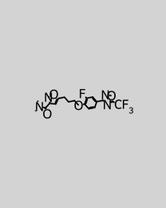 CN(C)C(=O)c1cc(CCCOc2ccc(-c3noc(C(F)(F)F)n3)cc2F)on1